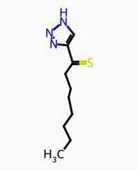 CCCCCCCC(=S)c1c[nH]nn1